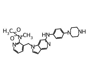 CN(c1ncccc1Cn1ccc2cnc(Nc3ccc(N4CCNCC4)cc3)cc21)S(C)(=O)=O